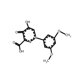 COc1cc(OC)cc(-n2cc(O)c(=O)c(C(=O)O)n2)c1